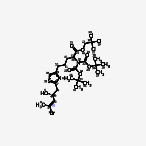 C/C(Br)=C\[C@H](O)Cc1nc(CCC[C@@H](C(=O)OCC(Cl)(Cl)Cl)N(C(=O)OC(C)(C)C)C(=O)OC(C)(C)C)cs1